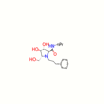 CCCNC(=O)[C@@H]1[C@@H](O)[C@H](O)[C@@H](CO)N1CCCc1ccccc1